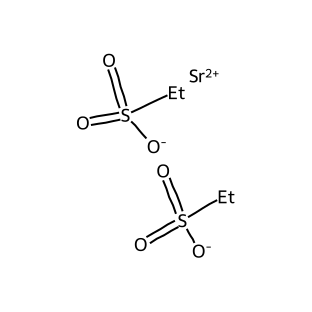 CCS(=O)(=O)[O-].CCS(=O)(=O)[O-].[Sr+2]